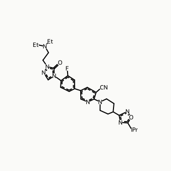 CCN(CC)CCn1ncn(-c2ccc(-c3cnc(N4CCC(c5noc(C(C)C)n5)CC4)c(C#N)c3)cc2F)c1=O